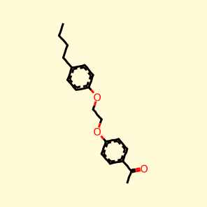 CCCCc1ccc(OCCOc2ccc(C(C)=O)cc2)cc1